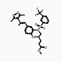 COC(=O)CCC1CN(S(=O)(=O)c2cccc(C(F)(F)F)c2)c2cc(/C=C(\C)c3c(C)noc3C)ccc2O1